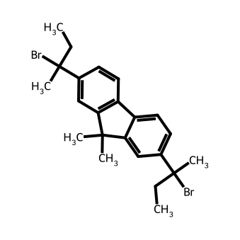 CCC(C)(Br)c1ccc2c(c1)C(C)(C)c1cc(C(C)(Br)CC)ccc1-2